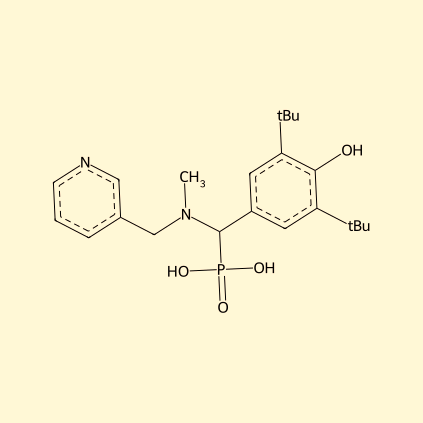 CN(Cc1cccnc1)C(c1cc(C(C)(C)C)c(O)c(C(C)(C)C)c1)P(=O)(O)O